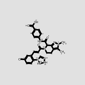 Cc1c2c(nn1C)C(C(=O)Nc1ccc(C(=O)O)cc1)N(C(=O)/C=C/c1cc(Cl)ccc1N1C=NNN1)CC2